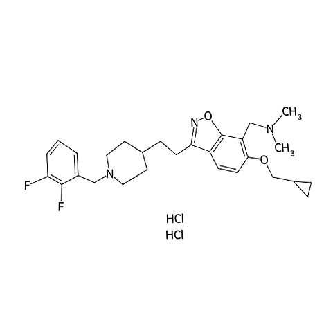 CN(C)Cc1c(OCC2CC2)ccc2c(CCC3CCN(Cc4cccc(F)c4F)CC3)noc12.Cl.Cl